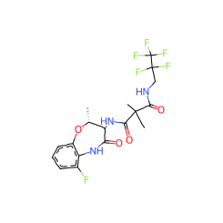 C[C@H]1Oc2cccc(F)c2NC(=O)[C@H]1NC(=O)C(C)(C)C(=O)NCC(F)(F)C(F)(F)F